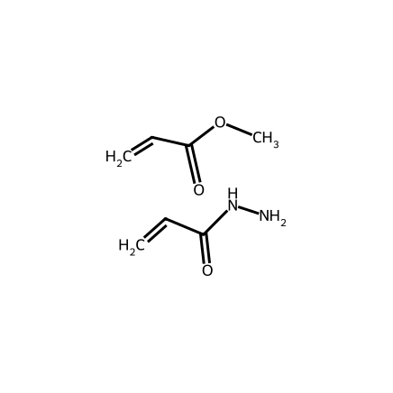 C=CC(=O)NN.C=CC(=O)OC